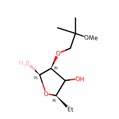 B[C@@H]1O[C@H](CC)C(O)[C@@H]1OCC(C)(C)OC